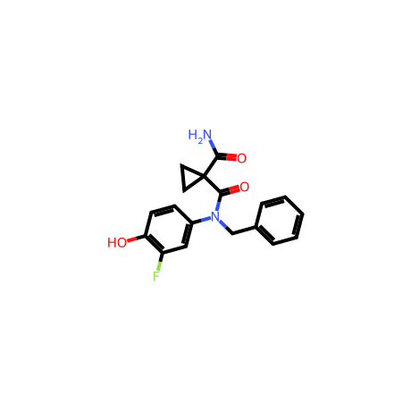 NC(=O)C1(C(=O)N(Cc2ccccc2)c2ccc(O)c(F)c2)CC1